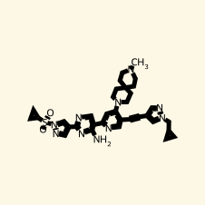 CN1CCC2(CC1)CCN(c1cc(-c3cnc(-c4cnn(S(=O)(=O)C5CC5)c4)nc3N)ncc1C#Cc1cnn(CC3CC3)c1)CC2